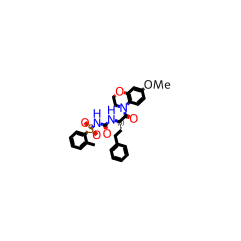 COc1ccc2c(c1)OCCN2C(=O)[C@H](CCc1ccccc1)NC(=O)NS(=O)(=O)c1ccccc1C